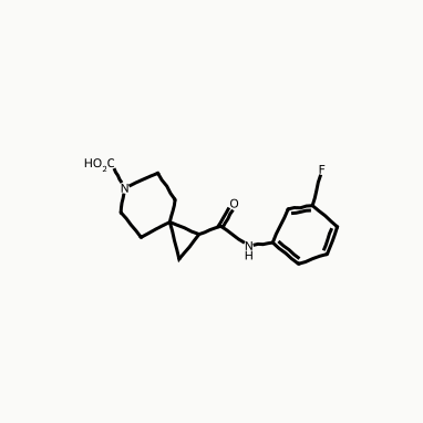 O=C(Nc1cccc(F)c1)C1CC12CCN(C(=O)O)CC2